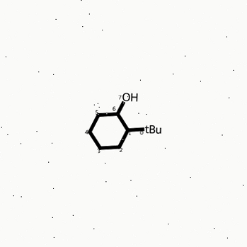 CC(C)(C)[C]1CCCCC1O